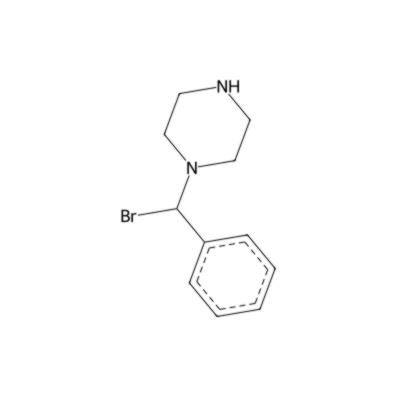 BrC(c1ccccc1)N1CCNCC1